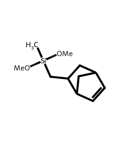 CO[Si](C)(CC1CC2C=CC1C2)OC